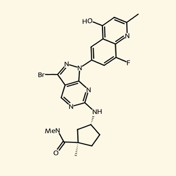 CNC(=O)[C@]1(C)CC[C@@H](Nc2ncc3c(Br)nn(-c4cc(F)c5nc(C)cc(O)c5c4)c3n2)C1